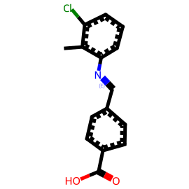 Cc1c(Cl)cccc1/N=C/c1ccc(C(=O)O)cc1